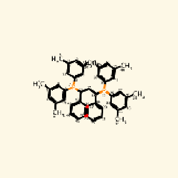 Cc1cc(C)cc(P(c2cc(C)cc(C)c2)C(CC(c2ccccc2)P(c2cc(C)cc(C)c2)c2cc(C)cc(C)c2)c2ccccc2)c1